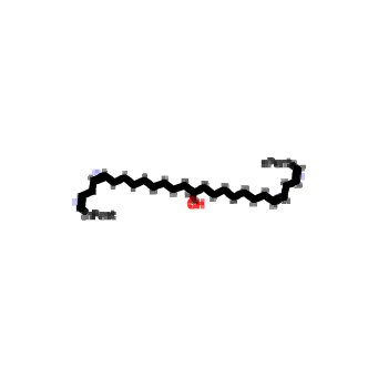 CCCCC/C=C\C/C=C\CCCCCCCCC(O)CCCCCCC/C=C\C/C=C\CCCCC